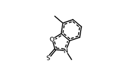 Cc1cccc2c1oc(=S)n2C